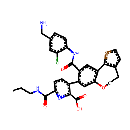 CCCNC(=O)c1ccc(-c2cc3c(cc2C(=O)Nc2ccc(CN)cc2Cl)-c2sccc2CCO3)c(C(=O)O)n1